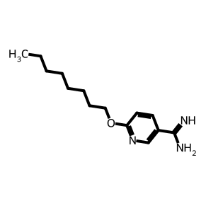 CCCCCCCCOc1ccc(C(=N)N)cn1